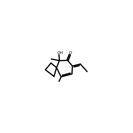 C/C=C1\C=C(C)C2(CCC2)C(C)(O)C1=O